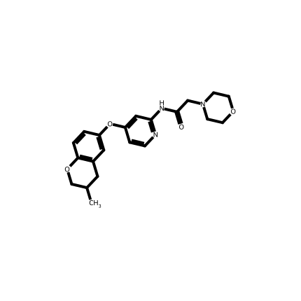 CC1COc2ccc(Oc3ccnc(NC(=O)CN4CCOCC4)c3)cc2C1